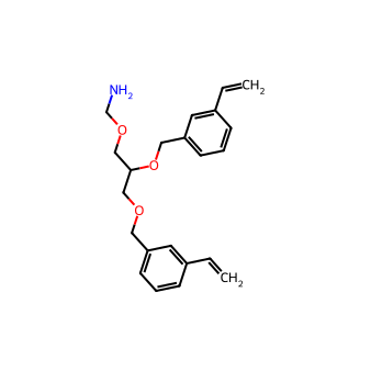 C=Cc1cccc(COCC(COCN)OCc2cccc(C=C)c2)c1